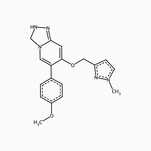 COc1ccc(C2=CN3CNN=C3C=C2OCc2ccn(C)n2)cc1